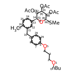 CCCCOCCCOc1ccc(Cc2cc([C@@H]3O[C@H](SC)[C@@H](OC(C)=O)[C@H](OC(C)=O)[C@H]3OC(C)=O)ccc2C)cc1